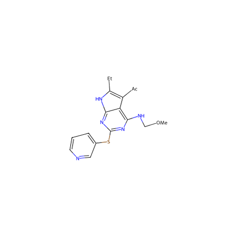 CCc1[nH]c2nc(Sc3cccnc3)nc(NCOC)c2c1C(C)=O